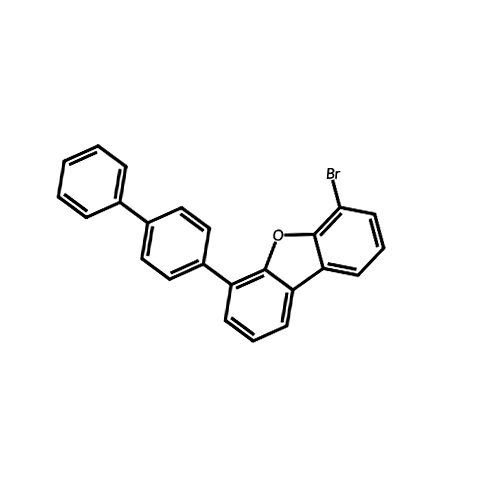 Brc1cccc2c1oc1c(-c3ccc(-c4ccccc4)cc3)cccc12